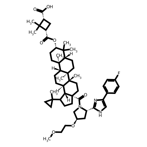 COCCO[C@@H]1C[C@@H](c2nc(-c3ccc(F)cc3)c[nH]2)N(C(=O)[C@]23CCC(C4(C)CC4)[C@@H]2[C@H]2CC[C@@H]4[C@@]5(C)CC[C@H](OC(=O)[C@H]6C[C@@H](C(=O)O)C6(C)C)C(C)(C)[C@@H]5CC[C@@]4(C)[C@]2(C)CC3)C1